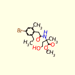 CCc1cc(Br)cc(C)c1CC(=O)NC(C)(CCO)C(=O)OC